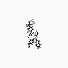 CCC(CNC(=O)c1ccc(C(=O)N2CCOCC2)cc1)CN(Cc1ccc(OC)cc1OC)C1Cc2ccccc2C1